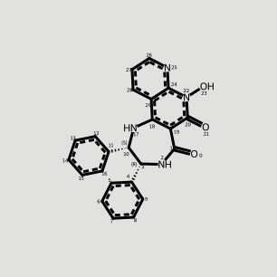 O=C1N[C@H](c2ccccc2)[C@H](c2ccccc2)Nc2c1c(=O)n(O)c1ncccc21